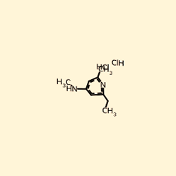 CCc1cc(NC)cc(C)n1.Cl.Cl